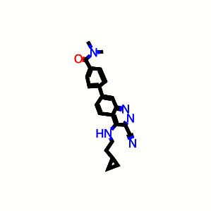 CN(C)C(=O)c1ccc(-c2ccc3c(NCCC4CC4)c(C#N)nnc3c2)cc1